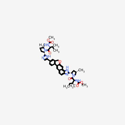 CC[C@H](C)C(NC(=O)OC)C(=O)N1C[C@@H](C)C[C@H]1c1nc2ccc3cc4c(cc3c2[nH]1)OCc1cc(-c2cnc([C@@H]3CC[C@H](C)N3C(=O)[C@@H](NC(=O)OC)C(C)C)[nH]2)ccc1-4